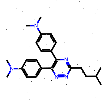 CC(C)CCc1nnc(-c2ccc(N(C)C)cc2)c(-c2ccc(N(C)C)cc2)n1